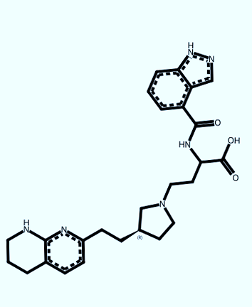 O=C(NC(CCN1CC[C@@H](CCc2ccc3c(n2)NCCC3)C1)C(=O)O)c1cccc2[nH]ncc12